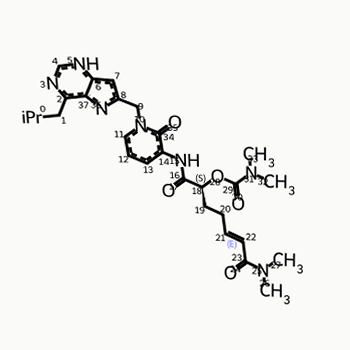 CC(C)Cc1nc[nH]c2cc(Cn3cccc(NC(=O)[C@H](CC/C=C/C(=O)N(C)C)OC(=O)N(C)C)c3=O)nc1-2